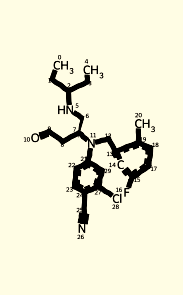 CCC(CC)NC[C@H](CC=O)N(Cc1cc(F)ccc1C)c1ccc(C#N)c(Cl)c1